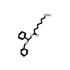 CCCCCCCCCCCCCCCCC(=O)OCC(OCc1ccccc1)c1ccccc1